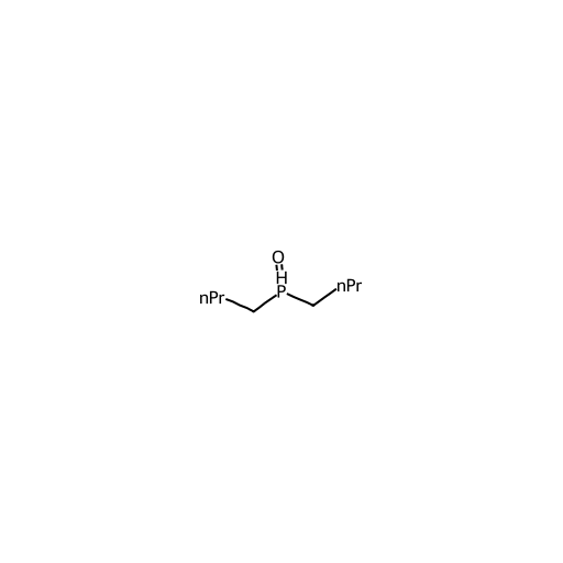 CCCC[PH](=O)CCCC